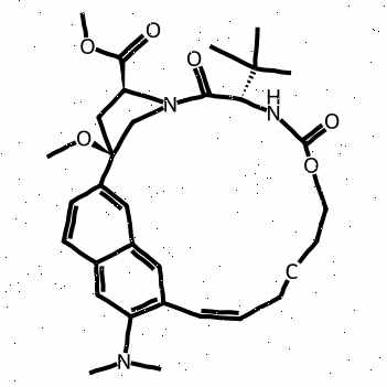 COC(=O)[C@@H]1C[C@]2(OC)CN1C(=O)[C@H](C(C)(C)C)NC(=O)OCCCCC=Cc1cc3cc2ccc3cc1N(C)C